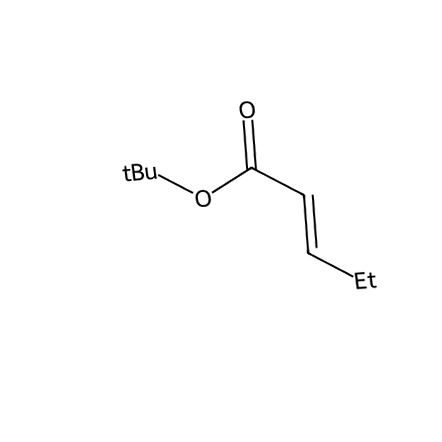 [CH2]CC=CC(=O)OC(C)(C)C